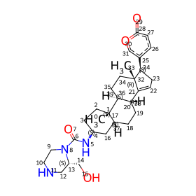 C[C@]12CC[C@H](NC(=O)N3CCNC[C@H]3CO)C[C@H]1CC[C@H]1C3=CC[C@H](c4ccc(=O)oc4)[C@@]3(C)CC[C@@H]12